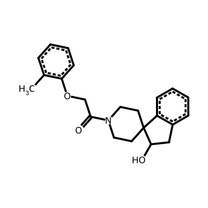 Cc1ccccc1OCC(=O)N1CCC2(CC1)c1ccccc1CC2O